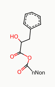 CCCCCCCCCC(=O)OC(=O)C(O)Cc1ccccc1